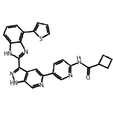 O=C(Nc1ccc(-c2cc3c(-c4nc5c(-c6cccs6)cccc5[nH]4)n[nH]c3cn2)cn1)C1CCC1